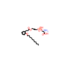 CCCCCCCCCCCOc1ccccc1CCC(=O)OCC#CCOP(=O)(O)OC[C@H](N)C(=O)O